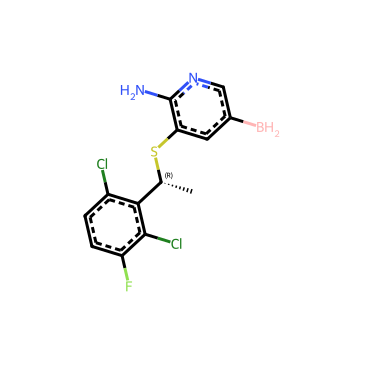 Bc1cnc(N)c(S[C@H](C)c2c(Cl)ccc(F)c2Cl)c1